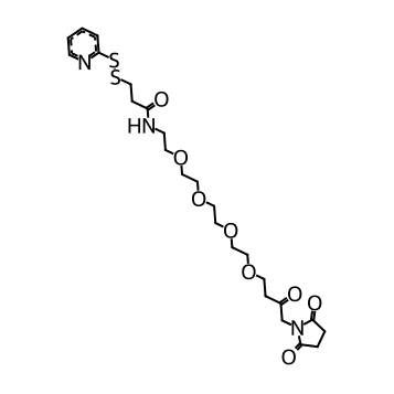 O=C(CCOCCOCCOCCOCCNC(=O)CCSSc1ccccn1)CN1C(=O)CCC1=O